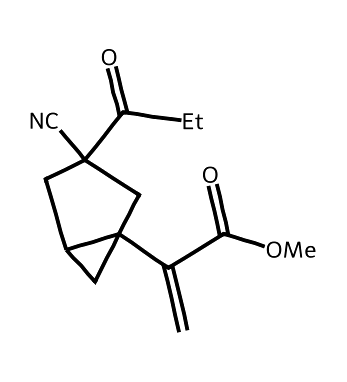 C=C(C(=O)OC)C12CC1CC(C#N)(C(=O)CC)C2